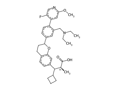 CCN(CC)Cc1cc(C2CCc3ccc(C(C4CCC4)[C@H](C)C(=O)O)cc3O2)ccc1-c1cc(OC)ncc1F